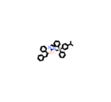 CC(C)c1ccc([Si](Cn2ccnc2BC(=Cc2ccccc2)c2ccccc2)(c2ccccc2)c2ccccc2)cc1